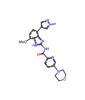 COc1ccc(-c2cnn(C)c2)c2nc(NC(=O)c3ccc(N4CCOCC4)cn3)[nH]c12